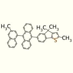 Cc1cc(-c2c3ccccc3c(-c3ccc4c(c3)C(C)(C)c3cc(C)sc3-4)c3ccccc23)c2ccccc2c1